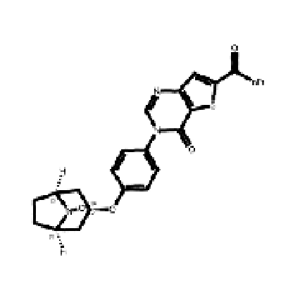 CCCC(=O)c1cc2ncn(-c3ccc(O[C@H]4C[C@H]5CC[C@@H](C4)N5C)cc3)c(=O)c2s1